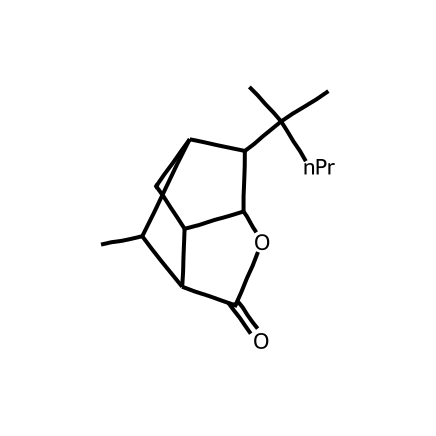 CCCC(C)(C)C1C2CC3C1OC(=O)C3C2C